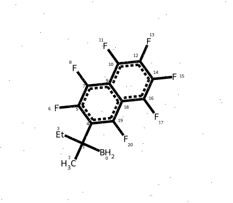 BC(C)(CC)c1c(F)c(F)c2c(F)c(F)c(F)c(F)c2c1F